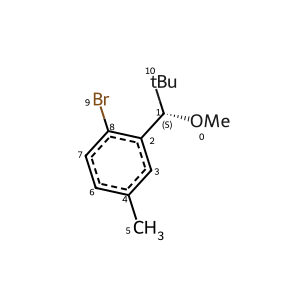 CO[C@H](c1cc(C)ccc1Br)C(C)(C)C